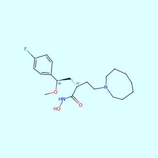 CO[C@H](C[C@H](CCN1CCCCCCC1)C(=O)NO)c1ccc(F)cc1